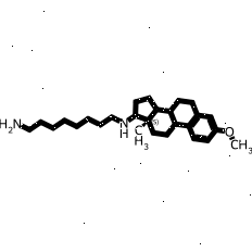 COc1ccc2c(c1)CCC1C2CC[C@]2(C)C(NCCCCCCCCN)CCC12